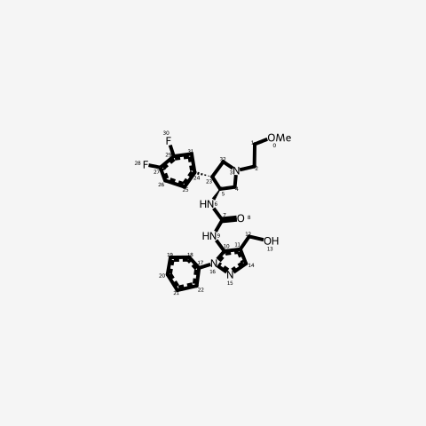 COCCN1C[C@@H](NC(=O)Nc2c(CO)cnn2-c2ccccc2)[C@H](c2ccc(F)c(F)c2)C1